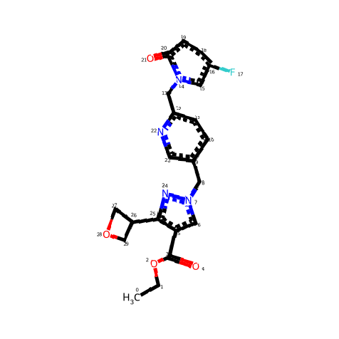 CCOC(=O)c1cn(Cc2ccc(Cn3cc(F)ccc3=O)nc2)nc1C1COC1